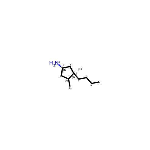 CCCC[C@]1(C)C[C@H](N)CC1C